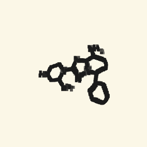 CCCC1CNCCN1c1nc2c(N)ccc(-c3ccccc3)n2n1